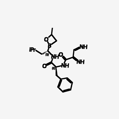 CC(C)C[C@@H](NC(=O)[C@H](Cc1ccccc1)NC(=O)C(=N)C=N)B1CC(C)O1